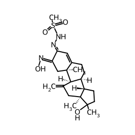 C=C1C[C@@]2(C)[C@@H](CCC2(C)O)[C@@H]2CCC3=CC(=NNS(C)(=O)=O)C(=NO)C[C@]3(C)[C@H]12